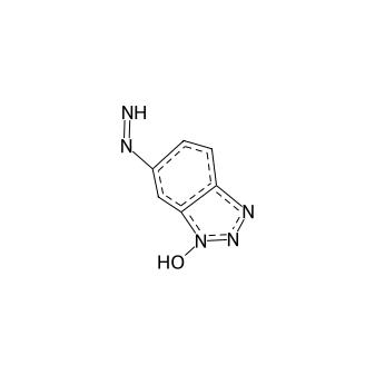 N=Nc1ccc2nnn(O)c2c1